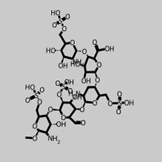 CO[C@H]1OC(COS(=O)(=O)O)[C@@H](O[C@@H]2OC(C=O)[C@H](O[C@@H]3OC(COS(=O)(=O)O)[C@@H](O[C@@H]4OC(C(=O)O)[C@@H](O[C@H]5OC(COS(=O)(=O)O)[C@@H](O)[C@H](O)C5N)[C@H](O)C4O)CC3N)C(O)[C@@H]2OS(=O)(=O)O)[C@H](O)C1N